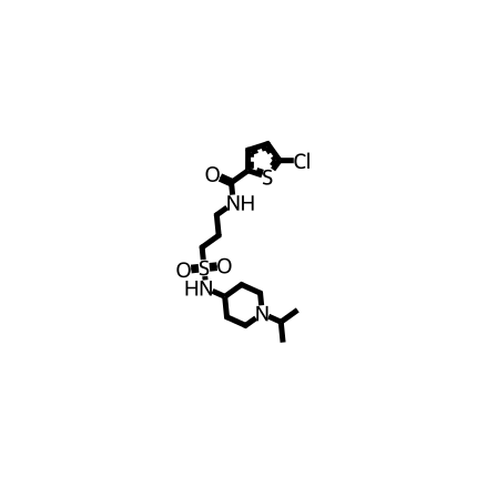 CC(C)N1CCC(NS(=O)(=O)CCCNC(=O)c2ccc(Cl)s2)CC1